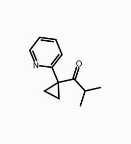 CC(C)C(=O)C1(c2ccccn2)CC1